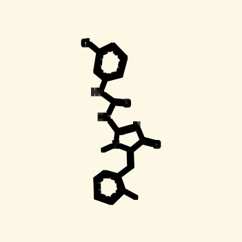 Cc1ccccc1/C=C1/C(=O)N=C(NC(=O)Nc2cccc(Cl)c2)N1C